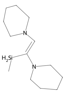 C[SiH2]C(=CN1CCCCC1)N1CCCCC1